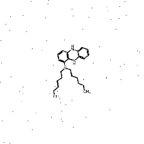 CCCCCCN(CCCCCC)c1cccc2c1Nc1ccccc1N2